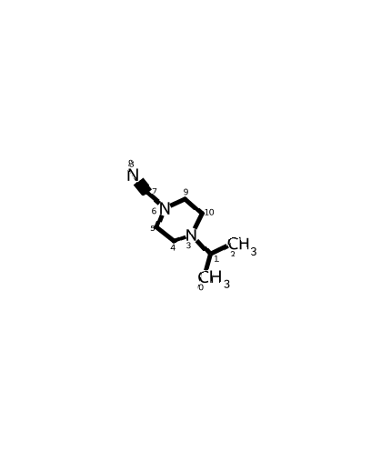 CC(C)N1CCN(C#N)CC1